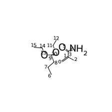 C=C(C)C(N)=O.CCCC(OCC)OCC